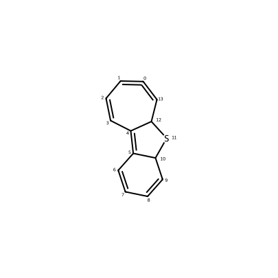 C1=CC=CC2=C3C=CC=CC3SC2C=1